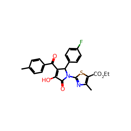 CCOC(=O)c1sc(N2C(=O)C(O)=C(C(=O)c3ccc(C)cc3)C2c2ccc(F)cc2)nc1C